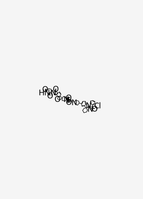 O=C1CC[C@H](N2Cc3c(ccc4c3OCC43CCN(S(=O)(=O)CCN4CCC(c5ccc6c(c5)C5(CCCCC5)c5nc(=O)c7c(Cl)cccc7n5-6)CC4)CC3)C2=O)C(=O)N1